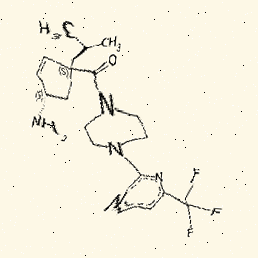 CC(C)[C@]1(C(=O)N2CCN(c3nccc(C(F)(F)F)n3)CC2)C=C[C@@H](N)C1